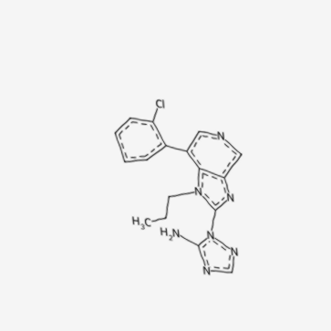 CCCn1c(-n2ncnc2N)nc2cncc(-c3ccccc3Cl)c21